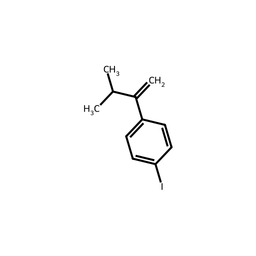 C=C(c1ccc(I)cc1)C(C)C